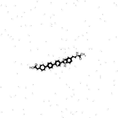 CC(=O)NCCc1ccc2[nH]c(-c3ccc(-c4ccc(C5CCC(CC(=O)O)CC5)cc4)nc3)nc2c1